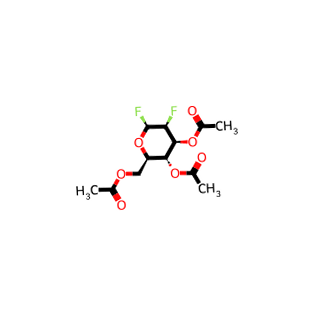 CC(=O)OC[C@H]1O[C@@H](F)[C@@H](F)[C@@H](OC(C)=O)[C@@H]1OC(C)=O